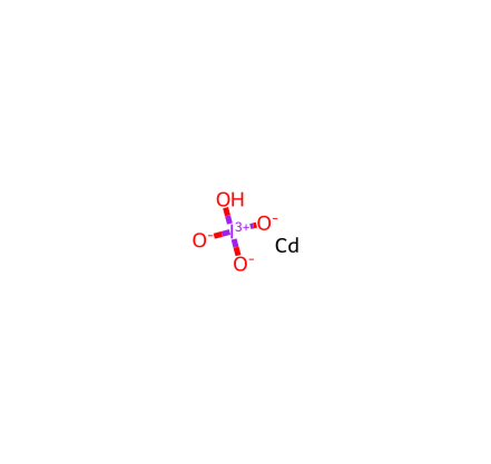 [Cd].[O-][I+3]([O-])([O-])O